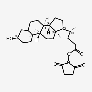 C[C@H](CCC(=O)ON1C(=O)CCC1=O)[C@H]1CC[C@H]2[C@@H]3CCC4C[C@H](O)CC[C@]4(C)[C@H]3CC[C@]12C